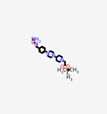 CC(C)(C)OC(=O)CN1CCC(N2CCN(c3ccc(C=NON)cc3)CC2)CC1